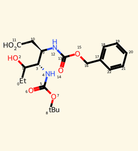 CCC(O)[C@@H](NC(=O)OC(C)(C)C)[C@@H](CC(=O)O)NC(=O)OCc1ccccc1